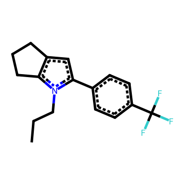 CCCn1c(-c2ccc(C(F)(F)F)cc2)cc2c1CCC2